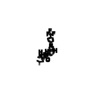 CN[C@H](CC(C)C)C(=O)N[C@@H]1CC[C@H]2CN(c3ccc(C(F)(F)F)cc3)C[C@H]21